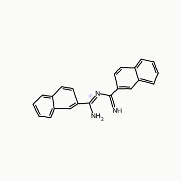 N=C(/N=C(\N)c1ccc2ccccc2c1)c1ccc2ccccc2c1